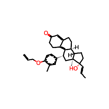 C=CCOc1ccc([C@H]2C[C@@]3(C)[C@@H](CC[C@@]3(O)C=CC)[C@@H]3CCC4=CC(=O)CCC4=C32)cc1C